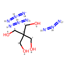 OCC(CO)(CO)CO.[N-]=[N+]=[N-].[N-]=[N+]=[N-].[N-]=[N+]=[N-]